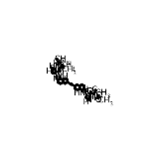 COC(=O)N[C@H](C(=O)N1[C@@H]2C[C@@H]2C[C@H]1c1nc2ccc3cc(C#Cc4ccc5c(ccc6nc([C@@H]7C[C@H]8C[C@H]8N7C(=O)[C@@H](NC(=O)OC)C(C)C)[nH]c65)c4)ccc3c2[nH]1)C(C)C